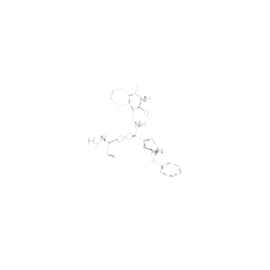 C=CC(N)=O.Cc1[nH]c(=O)c(CNC(=O)c2cnn(C(C)c3ccccc3)c2)c2c1CCCC2